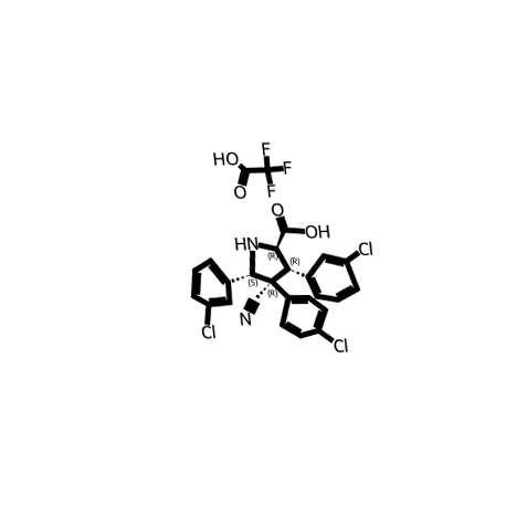 N#C[C@]1(c2ccc(Cl)cc2)[C@H](c2cccc(Cl)c2)N[C@@H](C(=O)O)[C@@H]1c1cccc(Cl)c1.O=C(O)C(F)(F)F